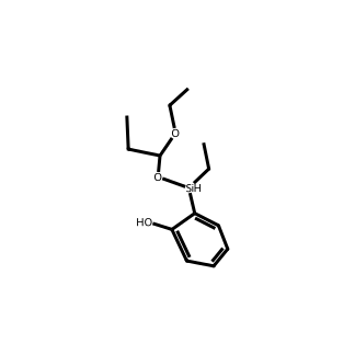 CCOC(CC)O[SiH](CC)c1ccccc1O